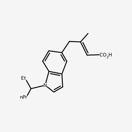 CCCC(CC)n1ccc2cc(CC(C)=CC(=O)O)ccc21